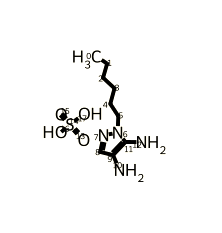 CCCCCCn1ncc(N)c1N.O=S(=O)(O)O